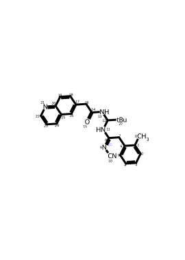 Cc1ccccc1C/C(=N\C#N)NC(NC(=O)Cc1ccc2ncccc2c1)C(C)(C)C